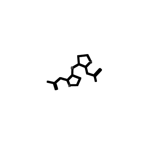 C=C(C)CC1SCCC1OC1CCSC1CC(=C)C